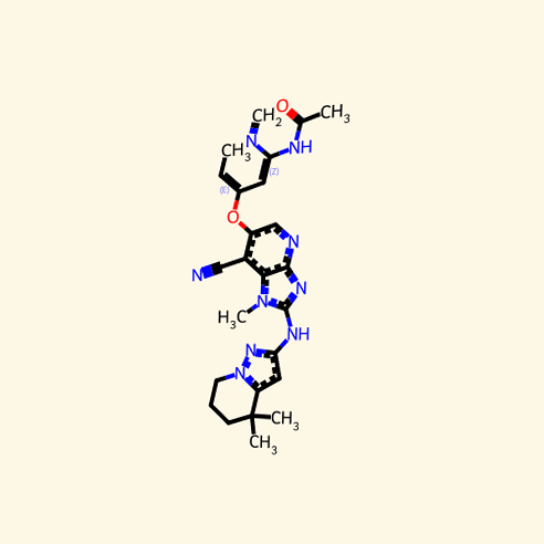 C=N/C(=C\C(=C/C)Oc1cnc2nc(Nc3cc4n(n3)CCCC4(C)C)n(C)c2c1C#N)NC(C)=O